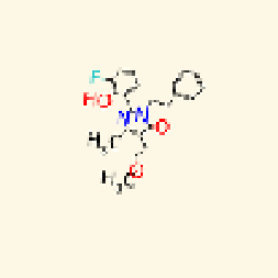 COCCc1c(C)nc(-c2cccc(F)c2O)n(CCc2ccccc2)c1=O